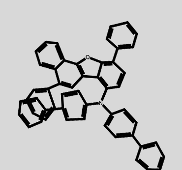 c1ccc(-c2ccc(N(c3ccc(-c4ccccc4)cc3)c3ccc(-c4ccccc4)c4oc5c6ccccc6c(-c6ccccc6)cc5c34)cc2)cc1